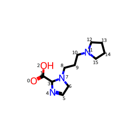 O=C(O)C1N=CCN1CCCN1CCCC1